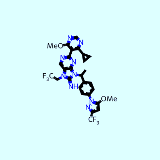 COc1ncnc(C2CC2)c1-c1ncc2c(n1)n(C(C)c1ccc(-n3nc(C(F)(F)F)cc3OC)cc1)c(=N)n2CC(F)(F)F